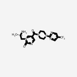 C[C@H](N)Cn1cc(C(=O)N2CCN(c3ncc(C(F)(F)F)cn3)CC2)cnc1=O